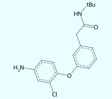 CC(C)(C)NC(=O)Cc1cccc(Oc2ccc(N)cc2Cl)c1